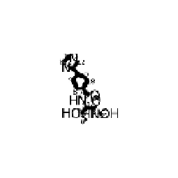 C[C@@H](O)[C@H](NC(=O)c1ccc(-c2cnccn2)cc1)C(=O)NO